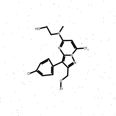 CCOCc1nn2c(C(F)(F)F)cc(N(C)CCO)nc2c1-c1ccc(Cl)cc1